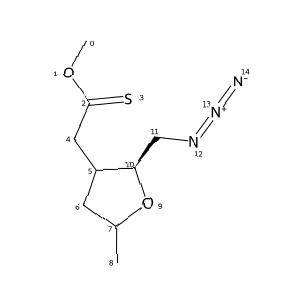 COC(=S)CC1CC(C)O[C@@H]1CN=[N+]=[N-]